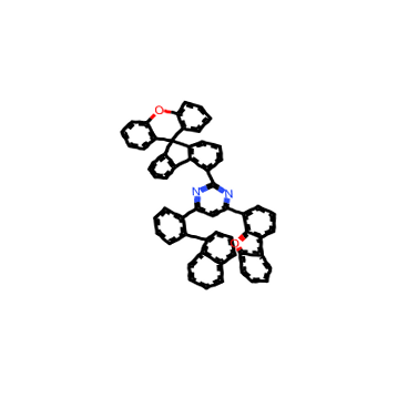 c1ccc2c(c1)Oc1ccccc1C21c2ccccc2-c2c(-c3nc(-c4ccccc4-c4cccc5ccccc45)cc(-c4cccc5c4oc4ccccc45)n3)cccc21